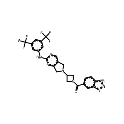 O=C(c1ccc2[nH]nnc2c1)N1CC(N2Cc3cnc(Nc4cc(C(F)(F)F)cc(C(F)(F)F)c4)nc3C2)C1